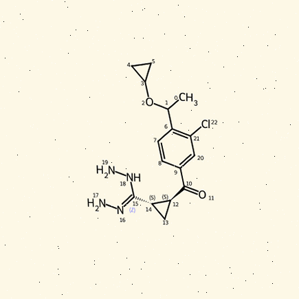 CC(OC1CC1)c1ccc(C(=O)[C@H]2C[C@@H]2/C(=N/N)NN)cc1Cl